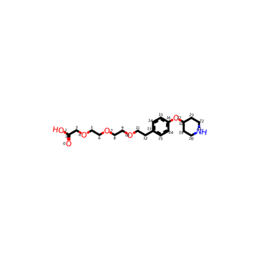 O=C(O)COCCOCCOCCc1ccc(OC2CCNCC2)cc1